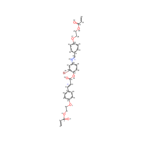 C=CC(=O)OCCOc1ccc(/C=C/C(=O)Oc2ccc(/N=C/c3ccc(OCCOC(=O)C=C)cc3)cc2Br)cc1